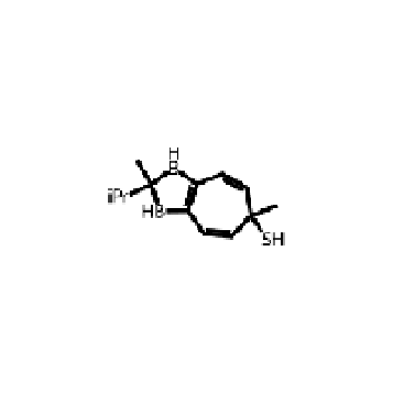 CC(C)C1(C)BC2=C(B1)C=CC(C)(S)C=C2